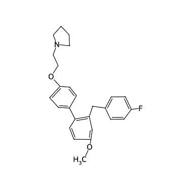 COc1ccc(-c2ccc(OCCN3CCCC3)cc2)c(Cc2ccc(F)cc2)c1